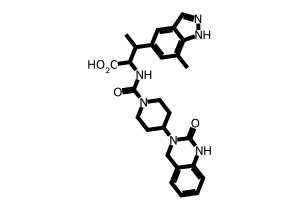 Cc1cc(C(C)C(NC(=O)N2CCC(N3Cc4ccccc4NC3=O)CC2)C(=O)O)cc2cn[nH]c12